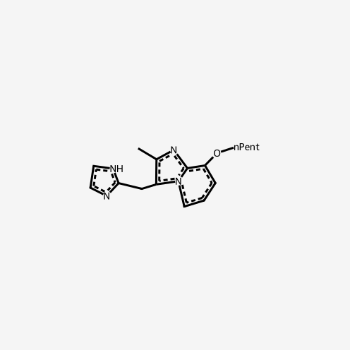 CCCCCOc1cccn2c(Cc3ncc[nH]3)c(C)nc12